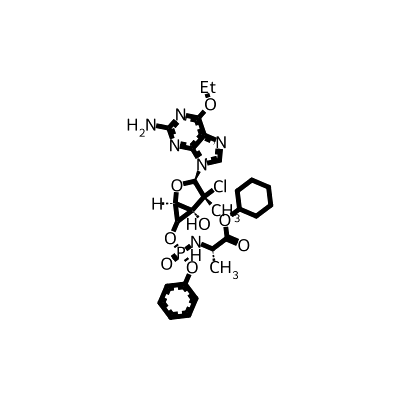 CCOc1nc(N)nc2c1ncn2[C@@H]1O[C@@H]2C(OP(=O)(N[C@@H](C)C(=O)OC3CCCCC3)Oc3ccccc3)[C@]2(O)[C@@]1(C)Cl